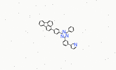 c1ccc(-c2nc(-c3ccc(-c4ccc5c6c(cccc46)-c4ccccc4-5)cc3)nc(-c3cccc(-c4cccnc4)c3)n2)cc1